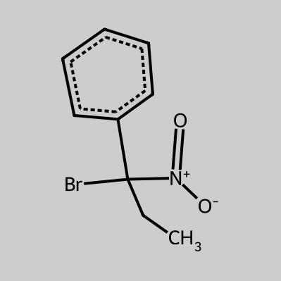 CCC(Br)(c1ccccc1)[N+](=O)[O-]